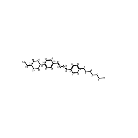 CCCCCCCc1ccc(C=NN=Cc2ccc([C@H]3CC[C@H](CC)CC3)cc2)cc1